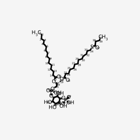 CCCCCCCCCCCCCCCC(=O)O[C@H](COC(=O)CCCCCCCCCCCCSC(=O)CCC)COP(=O)(O)OC1C(O)[C@@H](OP(=O)(O)O)C(O)[C@@H](O)[C@H]1O